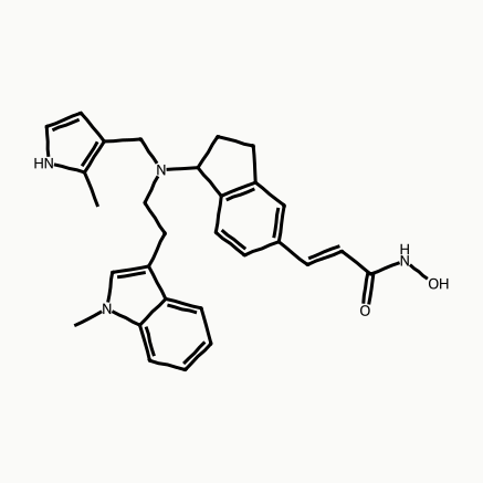 Cc1[nH]ccc1CN(CCc1cn(C)c2ccccc12)C1CCc2cc(C=CC(=O)NO)ccc21